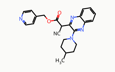 CC1CCN(c2nc3ccccc3nc2C(C#N)C(=O)OCc2ccncc2)CC1